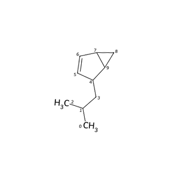 CC(C)CC1C=CC2CC12